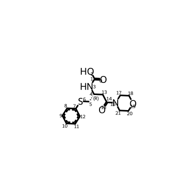 O=C(O)N[C@@H](CSc1ccccc1)CC(=O)N1CCOCC1